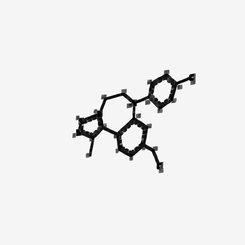 Cc1nnn2c1-c1ccc(CCl)cc1N(c1ccc(Cl)cc1)CC2